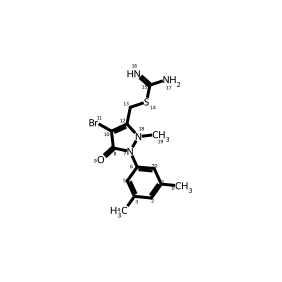 Cc1cc(C)cc(-n2c(=O)c(Br)c(CSC(=N)N)n2C)c1